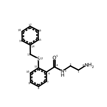 NCCNC(=O)c1ccccc1SCc1ccccc1